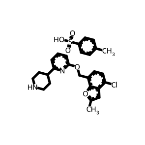 Cc1cc2c(Cl)ccc(COc3cccc(C4CCNCC4)n3)c2o1.Cc1ccc(S(=O)(=O)O)cc1